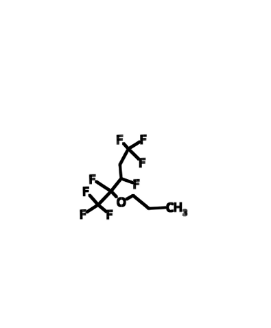 CCCOC(F)(C(F)CC(F)(F)F)C(F)(F)F